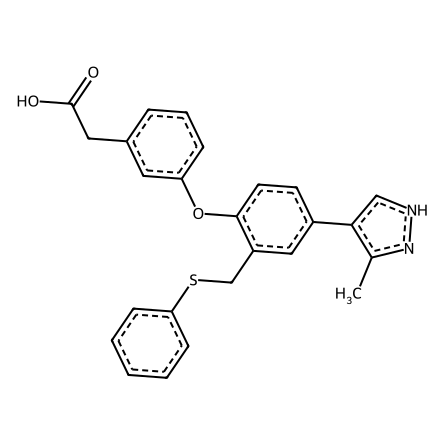 Cc1n[nH]cc1-c1ccc(Oc2cccc(CC(=O)O)c2)c(CSc2ccccc2)c1